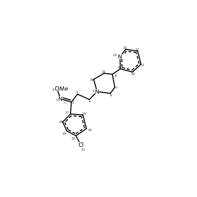 CO/N=C(\CCN1CCC(c2ccccn2)CC1)c1ccc(Cl)cc1